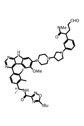 CNC(=O)C(CCC=O)c1cccc(N2CCC(N3CCN(c4cc5[nH]c6ncnc(-c7ccc([C@@H](C)NC(=O)c8noc(C(C)(C)C)n8)c(C)c7F)c6c5cc4OC)CC3)C2)c1